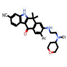 CCN(CCNc1cc2c(cc1C(C)=O)C(=O)c1c([nH]c3cc(C#N)ccc13)C2(C)C)C1CCOCC1